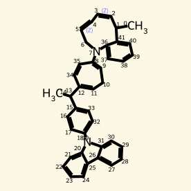 CC1/C=C\C=C/CN(C2=CCC=C(C(C)c3ccc(-n4c5ccccc5c5ccccc54)cc3)C=C2)c2ccccc21